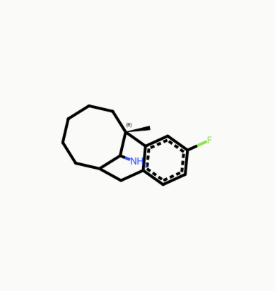 C[C@@]12CCCCCC(Cc3ccc(F)cc31)C2N